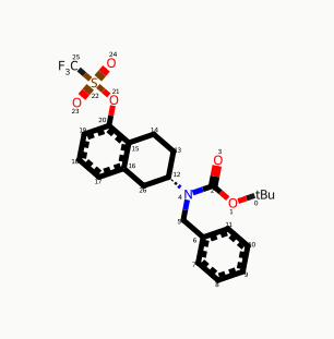 CC(C)(C)OC(=O)N(Cc1ccccc1)[C@H]1CCc2c(cccc2OS(=O)(=O)C(F)(F)F)C1